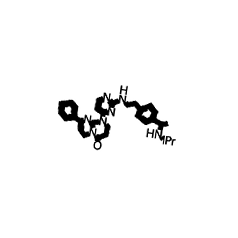 CC(C)NC(C)c1ccc(CCNc2nccc(N3CCC(=O)N4CC=C(c5ccccc5)N=C43)n2)cc1